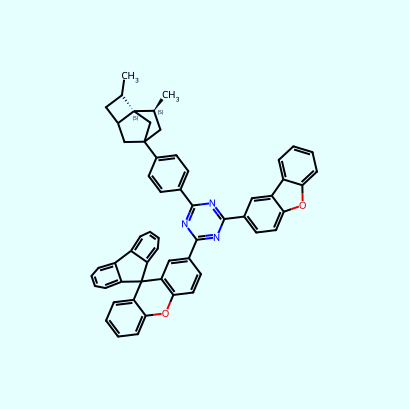 CC1CC2CC3(c4ccc(-c5nc(-c6ccc7c(c6)C6(c8ccccc8O7)c7ccccc7-c7ccccc76)nc(-c6ccc7oc8ccccc8c7c6)n5)cc4)C[C@H](C)[C@]12C3